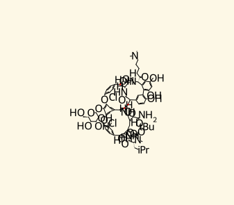 CC(C)C[C@H](C(=O)N[C@H]1C(=O)C[C@@H](CC(N)=O)C(=O)N[C@H]2C(=O)C[C@H]3C(=O)N[C@H](C(=O)N[C@H](C(=O)CCCCN(C)C)c4cc(O)cc(O)c4-c4cc3ccc4O)[C@H](O)c3ccc(c(Cl)c3)Oc3cc2cc(c3O[C@@H]2O[C@H](CO)[C@@H](O)[C@H](O)[C@H]2O)Oc2ccc(cc2Cl)[C@H]1O)N(C)C(=O)OC(C)(C)C